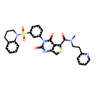 CN(CCc1ccccn1)C(=O)c1scc2[nH]c(=O)n(-c3cccc(S(=O)(=O)N4CCCc5ccccc54)c3)c(=O)c12